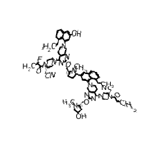 C=CC(=O)N1CCN(c2nc(OC[C@@H]3CC(O)CN3C)nc3c2CCN(c2cc(C4CC[C@@H](COc5nc6c(c(N7CCN(C(=O)C(=C)F)[C@@H](CC#N)C7)n5)CCN(c5cc(O)cc7cccc(C=C)c57)C6)N4C)cc4cccc(C=C)c24)C3)C[C@@H]1CC#N